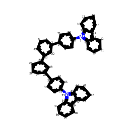 c1cc(-c2ccc(-n3c4ccccc4c4ccccc43)cc2)cc(-c2cccc(-c3ccc(-n4c5ccccc5c5ccccc54)cc3)c2)c1